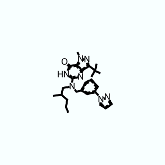 CCCC(C)CN(Cc1cccc(-n2cccn2)c1)c1nc2c(C(C)(C)C)nn(C)c2c(=O)[nH]1